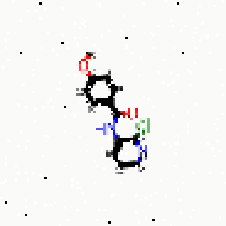 COc1ccc(C(=O)Nc2cccnc2Cl)cc1